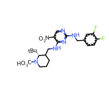 CC(C)(C)[C@@H]1C(CNc2nc(NCc3ccc(F)c(F)c3)ncc2[N+](=O)[O-])CCCN1C(=O)O